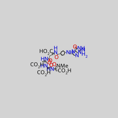 CNC(=O)[C@@H](CC(=O)O)NC(=O)[C@@H](CC(=O)O)NC(=O)[C@@H](CC(=O)O)NC(=O)CC[C@@H](NC(=O)c1ccc(NCc2cnc3nc(N)[nH]c(=O)c3n2)cc1)C(=O)O